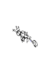 CC(C)OC[C@H]1O[C@@H](n2cnc3c(NC(=O)/C=C/CN4CCOCC4)ncnc32)[C@H](O)[C@@H]1O